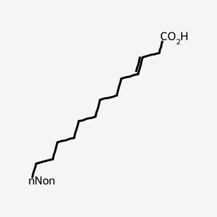 CCCCCCCCCCCCCCCCCCC=CCC(=O)O